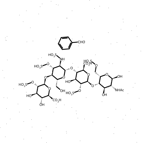 CC(=O)N[C@@H]1[C@@H](O)[C@H](O[C@@H]2O[C@H](C(=O)O)[C@@H](O[C@@H]3O[C@H](CO)[C@@H](O[C@H]4O[C@@H](C(=O)O)[C@H](O)[C@@H](O)[C@@H]4OS(=O)(=O)O)[C@H](OS(=O)(=O)O)[C@H]3NS(=O)(=O)O)[C@H](O)[C@H]2OS(=O)(=O)O)[C@H](COS(=O)(=O)O)O[C@H]1O.O=Cc1ccccc1